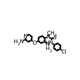 CN(C(=S)Nc1ccc(Cl)cc1)c1ccc(Oc2ccnc(N)c2)cc1N